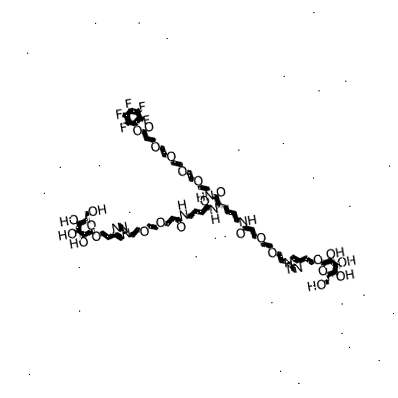 O=C(CCOCCOCCn1cc(CCO[C@@H]2O[C@H](CO)[C@H](O)[C@H](O)[C@H]2O)nn1)NCCCC[C@H](NC(=O)CCCNC(=O)CCOCCOCCn1cc(CCO[C@@H]2O[C@H](CO)[C@H](O)[C@H](O)[C@H]2O)nn1)C(=O)NCCOCCOCCOCCOCCC(=O)Oc1c(F)c(F)c(F)c(F)c1F